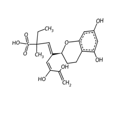 C=C(O)/C(O)=C\C(=C/C(C)(CC)S(=O)(=O)O)[C@@H]1CCc2c(O)cc(O)cc2O1